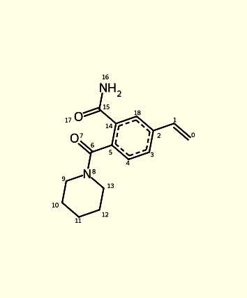 C=Cc1ccc(C(=O)N2CCCCC2)c(C(N)=O)c1